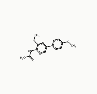 CCc1nc(-c2ccc(OC)cc2)cnc1NC(C)=O